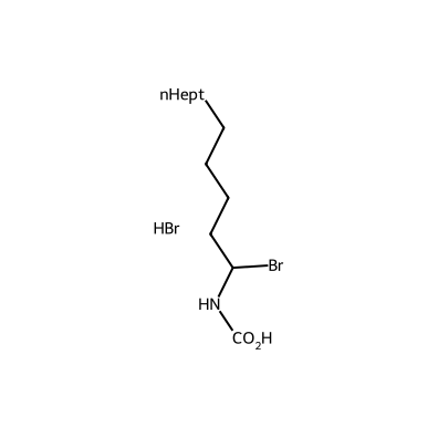 Br.CCCCCCCCCCCC(Br)NC(=O)O